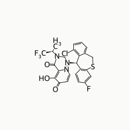 C[C@@H](N1CN([C@@H]2c3ccc(F)cc3SCc3cccc(Cl)c32)n2ccc(=O)c(O)c2C1=O)C(F)(F)F